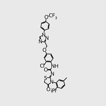 Cc1ccc(C(C)C)c(N2C(=O)CSC2=NC(=O)Nc2ccc(OCc3ncn(-c4ccc(OC(F)(F)F)cc4)n3)cc2Cl)c1